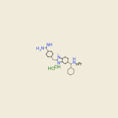 CCCNC(c1ccc2c(c1)nc(Cc1ccc(C(=N)N)cc1)n2C)C1CCCCC1.Cl.Cl